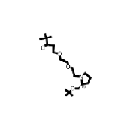 CC(C)(C)OC[C@@H]1CCCN1CCOCCOCCC(=O)C(C)(C)C